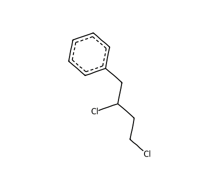 ClCCC(Cl)Cc1ccccc1